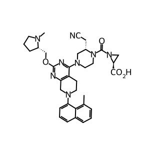 Cc1cccc2cccc(N3CCc4c(nc(OC[C@@H]5CCCN5C)nc4N4CCN(C(=O)N5C[C@H]5C(=O)O)[C@@H](CC#N)C4)C3)c12